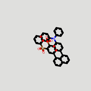 O=S1(=O)c2ccccc2S(=O)(=O)c2cc(-c3cccc4cccc(-c5ccc(N(c6ccccc6)c6ccccc6)cc5)c34)ccc21